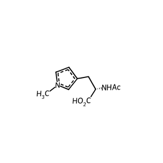 CC(=O)N[C@@H](Cc1ccn(C)c1)C(=O)O